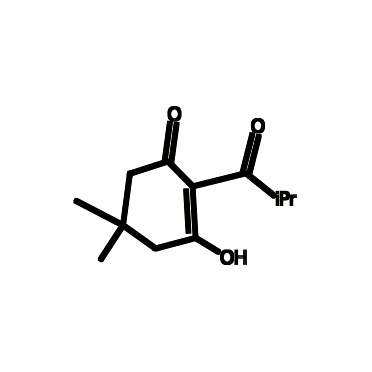 CC(C)C(=O)C1=C(O)CC(C)(C)CC1=O